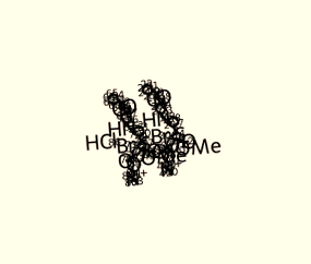 COC(=O)c1sc(-c2cccc(NC3CCN(S(=O)(=O)Cc4ccccc4)CC3)c2)c(Br)c1OCC(=O)OCC[N+](C)(C)C.COC(=O)c1sc(-c2cccc(NC3CCN(S(=O)(=O)Cc4ccccc4)CC3)c2)c(Br)c1OCC(=O)OCC[N+](C)(C)C.Cl